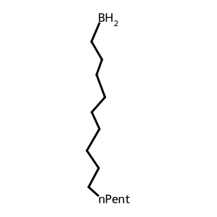 BCCCCCCCCCCCCCC